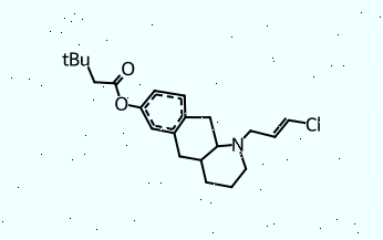 CC(C)(C)CC(=O)Oc1ccc2c(c1)CC1CCCN(CC=CCl)C1C2